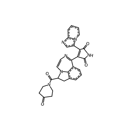 O=C1CCN(C(=O)C2Cc3cccc4c3N2C=CN=C4C2=C(c3cnc4ccccn34)C(=O)NC2=O)CC1